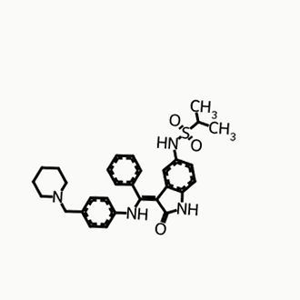 CC(C)S(=O)(=O)Nc1ccc2c(c1)/C(=C(/Nc1ccc(CN3CCCCC3)cc1)c1ccccc1)C(=O)N2